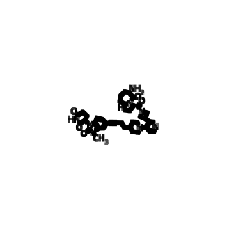 Cn1c(=O)n(C2CCC(=O)NC2=O)c2ccc(C#CCCC3CCN(c4ccncc4C4CN(C(=O)[C@@H]5CC[C@@H]6CCC[C@H](N)C(=O)N65)C4)CC3)cc21